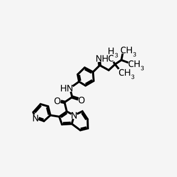 CC(C)C(C)(C)CC(=N)c1ccc(NC(=O)C(=O)c2c(-c3cccnc3)cc3ccccn23)cc1